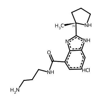 C[C@@]1(c2nc3c(C(=O)NCCCN)cccc3[nH]2)CCCN1.Cl